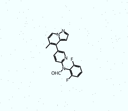 Cc1ccn2nccc2c1-c1ccc(N(C=O)c2c(F)cccc2F)nc1